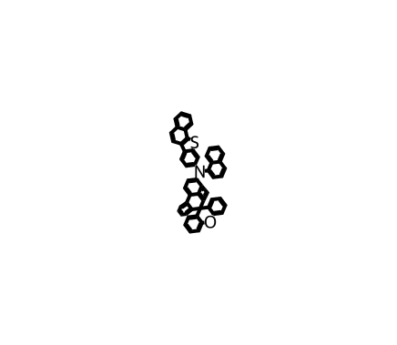 c1ccc2c(c1)Oc1ccccc1C21c2ccccc2-c2ccc(N(c3ccc4c(c3)sc3c5ccccc5ccc43)c3cccc4ccccc34)c3cccc1c23